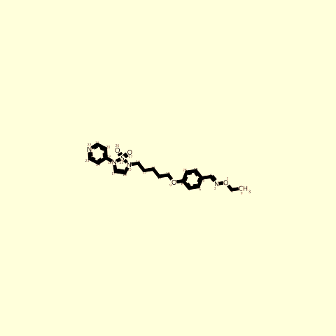 CCON=Cc1ccc(OCCCCCN2C=CN(c3ccncc3)S2(=O)=O)cc1